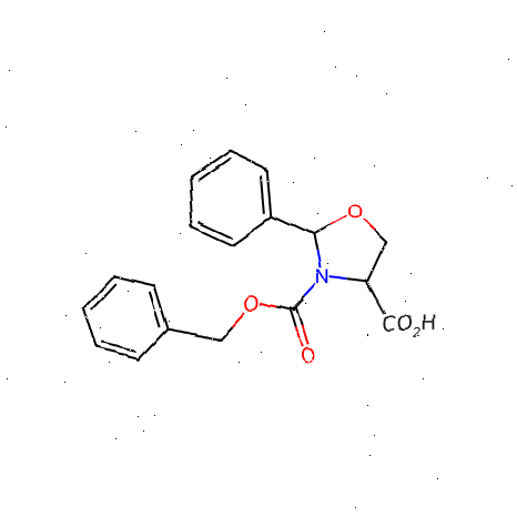 O=C(O)C1COC(c2ccccc2)N1C(=O)OCc1ccccc1